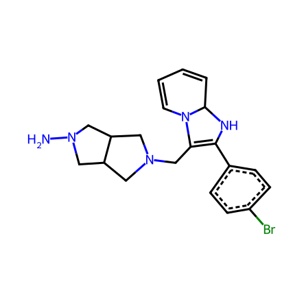 NN1CC2CN(CC3=C(c4ccc(Br)cc4)NC4C=CC=CN34)CC2C1